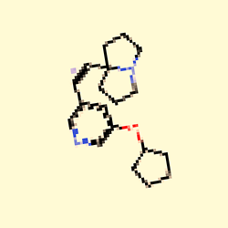 C(=C/C12CCCN1CCC2)/c1cncc(OC2CCCC2)c1